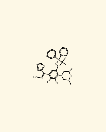 C[C@@H]1CN(c2c(CO[Si](c3ccccc3)(c3ccccc3)C(C)(C)C)cc(/C(=N/O)c3nccs3)c(F)c2Cl)C[C@H](C)O1